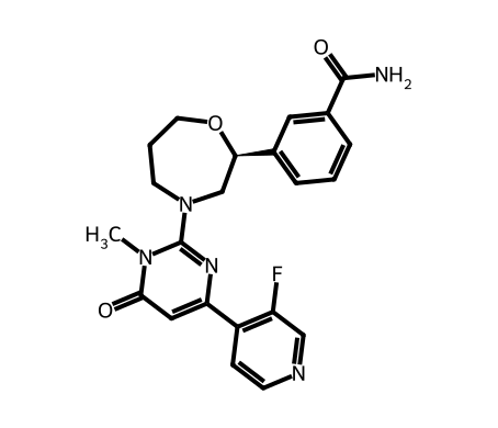 Cn1c(N2CCCO[C@@H](c3cccc(C(N)=O)c3)C2)nc(-c2ccncc2F)cc1=O